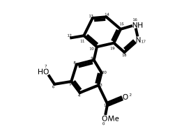 COC(=O)c1cc(CO)cc(-c2c(C)ccc3[nH]ncc23)c1